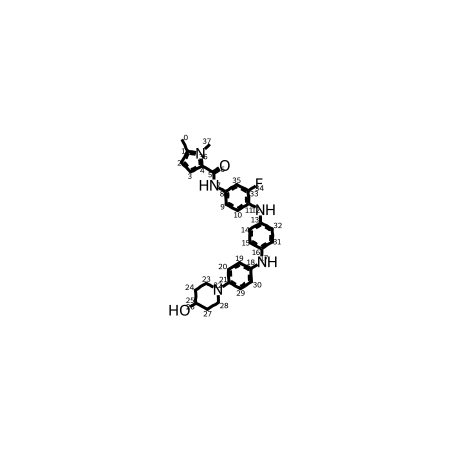 Cc1ccc(C(=O)Nc2ccc(Nc3ccc(Nc4ccc(N5CCC(O)CC5)cc4)cc3)c(F)c2)n1C